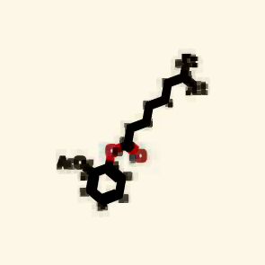 CCC(CC)CCCCCC(=O)Oc1ccccc1OC(C)=O